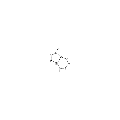 CN1CCN2NCCCC12